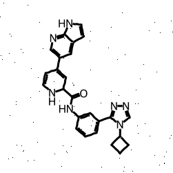 O=C(Nc1cccc(-c2nncn2C2CCC2)c1)C1C=C(c2cnc3[nH]ccc3c2)C=CN1